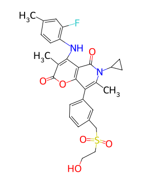 Cc1ccc(Nc2c(C)c(=O)oc3c(-c4cccc(CS(=O)(=O)CCO)c4)c(C)n(C4CC4)c(=O)c23)c(F)c1